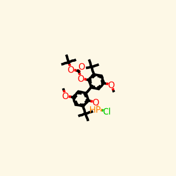 COc1cc(-c2cc(OC)cc(C(C)(C)C)c2OC(=O)OC(C)(C)C)c(OPCl)c(C(C)(C)C)c1